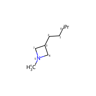 CC(C)CCC1CN(C)C1